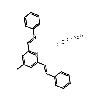 Cc1cc(C=Nc2ccccc2)nc(C=Nc2ccccc2)c1.[Cl-].[Cl-].[Cl-].[Nd+3]